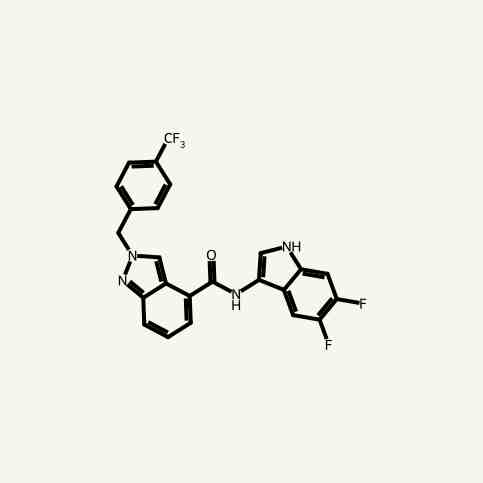 O=C(Nc1c[nH]c2cc(F)c(F)cc12)c1cccc2nn(Cc3ccc(C(F)(F)F)cc3)cc12